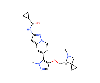 CCN1CC2(CC2)[C@@H]1COc1cnn(C)c1-c1ccn2nc(NC(=O)C3CC3)cc2c1